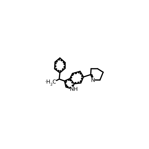 [CH2]C(c1ccccc1)c1c[nH]c2cc(C3=NCCCC3)ccc12